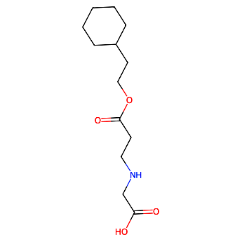 O=C(O)CNCCC(=O)OCCC1CCCCC1